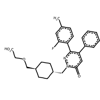 Cc1ccc(-c2nn(C[C@H]3CC[C@H](COCC(=O)O)CC3)c(=O)cc2-c2ccccc2)c(F)c1